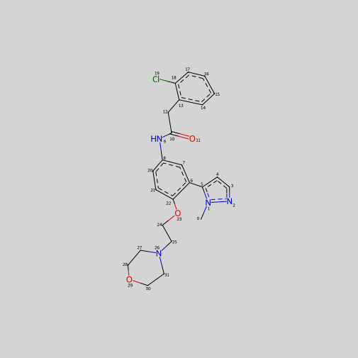 Cn1nccc1-c1cc(NC(=O)Cc2ccccc2Cl)ccc1OCCN1CCOCC1